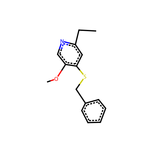 CCc1cc(SCc2ccccc2)c(OC)cn1